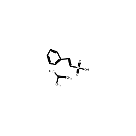 C=C(C)C.O=S(=O)(O)C=Cc1ccccc1